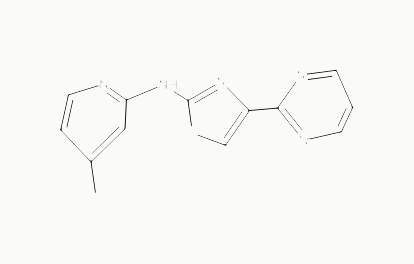 Cc1ccnc(Nc2nc(-c3ncccn3)cs2)c1